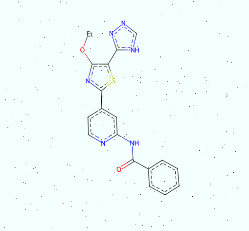 CCOc1nc(-c2ccnc(NC(=O)c3ccccc3)c2)sc1-c1nnc[nH]1